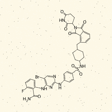 NC(=O)c1c(F)cccc1Nc1nc(Nc2ccc(S(=O)(=O)NC3CCC(Cc4cccc5c4C(=O)N(C4CCC(=O)NC4=O)C5=O)CC3)cc2)ncc1Br